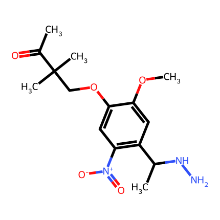 COc1cc(C(C)NN)c([N+](=O)[O-])cc1OCC(C)(C)C(C)=O